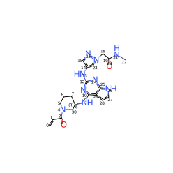 C=CC(=O)N1CCC[C@@H](Nc2nc(Nc3cnn(CC(=O)NC)c3)nc3[nH]ccc23)C1